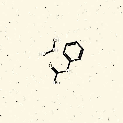 CC(C)(C)C(=O)Nc1ccccc1.OBO